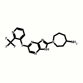 NC1CCCN(c2nc3nc(Sc4cccnc4C(F)(F)F)cnc3[nH]2)CC1